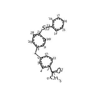 CC(=O)c1ccc(Cc2ccc(Sc3ccccc3)cc2)cc1